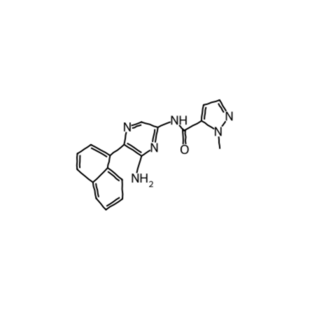 Cn1nccc1C(=O)Nc1cnc(-c2cccc3ccccc23)c(N)n1